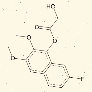 COc1cc2ccc(F)cc2c(OC(=O)CO)c1OC